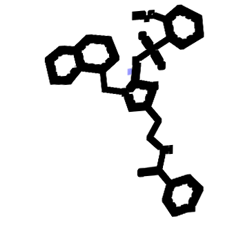 O=C(NCCc1cn(Cc2cccc3ccccc23)/c(=N/S(=O)(=O)c2ccccc2C(=O)O)s1)c1ccncc1